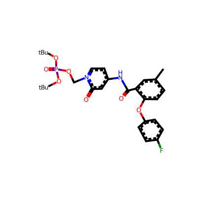 Cc1ccc(Oc2ccc(F)cc2)c(C(=O)Nc2ccn(COP(=O)(OC(C)(C)C)OC(C)(C)C)c(=O)c2)c1